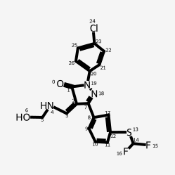 O=C1C(=CNCO)C(c2cccc(SC(F)F)c2)=NN1c1ccc(Cl)cc1